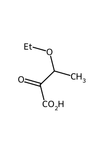 CCOC(C)C(=O)C(=O)O